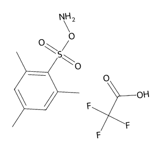 Cc1cc(C)c(S(=O)(=O)ON)c(C)c1.O=C(O)C(F)(F)F